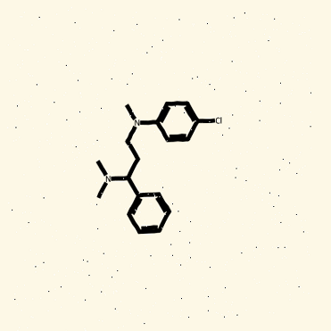 CN(CCC(c1ccccc1)N(C)C)c1ccc(Cl)cc1